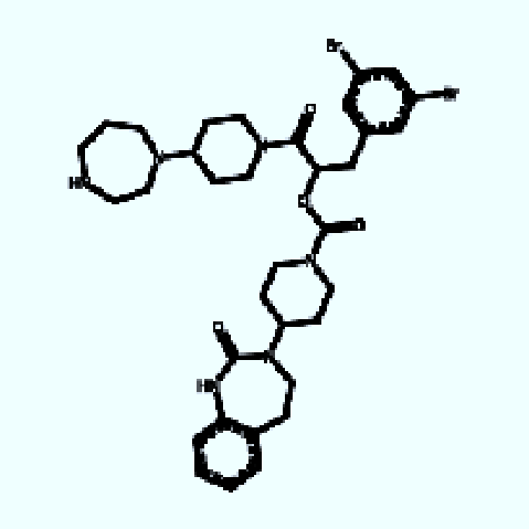 O=C(O[C@H](Cc1cc(Br)cc(Br)c1)C(=O)N1CCC(N2CCCNCC2)CC1)N1CCC(N2CCc3ccccc3NC2=O)CC1